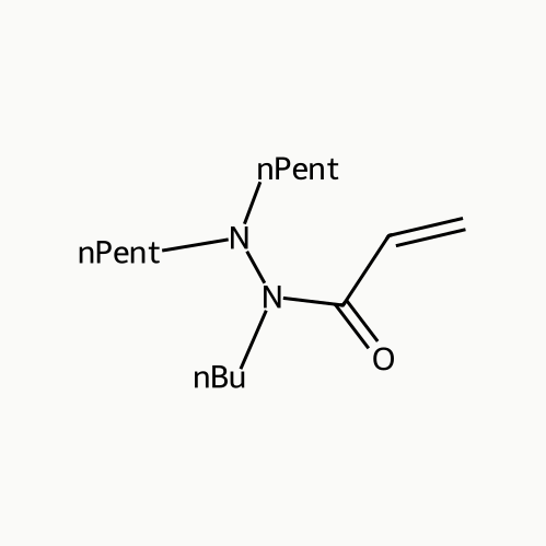 C=CC(=O)N(CCCC)N(CCCCC)CCCCC